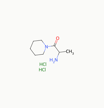 CC(N)C(=O)N1CCCCC1.Cl.Cl